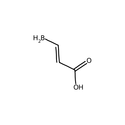 BC=CC(=O)O